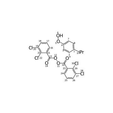 CC(C)c1ccc(OO)cc1.O=C(OOC(=O)c1cccc(Cl)c1Cl)c1cccc(Cl)c1Cl